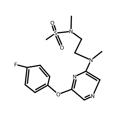 CN(CCN(C)S(C)(=O)=O)c1cncc(Oc2ccc(F)cc2)n1